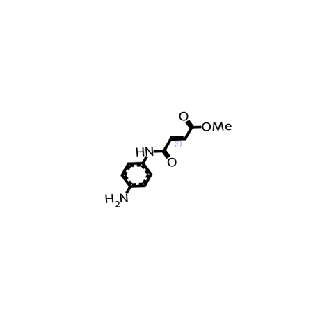 COC(=O)/C=C/C(=O)Nc1ccc(N)cc1